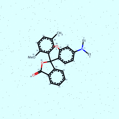 CCN(CC)c1ccc(C2(c3cc(C)ccc3OC)OC(=O)c3ccccc32)c(O)c1